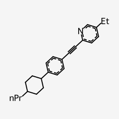 CCCC1CCC(c2ccc(C#Cc3ccc(CC)cn3)cc2)CC1